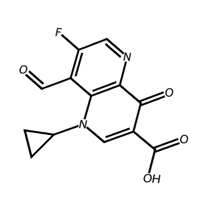 O=Cc1c(F)cnc2c(=O)c(C(=O)O)cn(C3CC3)c12